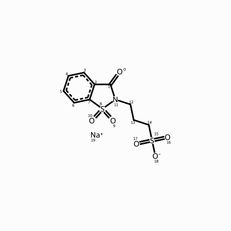 O=C1c2ccccc2S(=O)(=O)N1CCCS(=O)(=O)[O-].[Na+]